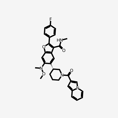 CNC(=O)c1c(-c2ccc(F)cc2)oc2cc(N(C)OC)c([C@H]3CCCN(C(=O)c4cc5ccccn5c4)C3)cc12